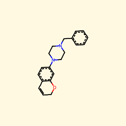 C1=Cc2ccc(N3CCN(Cc4ccccc4)CC3)cc2OC1